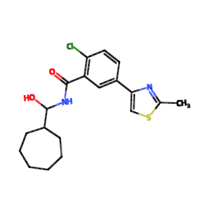 Cc1nc(-c2ccc(Cl)c(C(=O)NC(O)C3CCCCCC3)c2)cs1